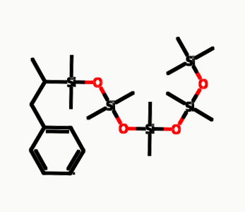 CC(Cc1cc[c]cc1)[Si](C)(C)O[Si](C)(C)O[Si](C)(C)O[Si](C)(C)O[Si](C)(C)C